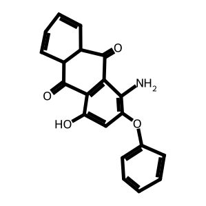 Nc1c(Oc2ccccc2)cc(O)c2c1C(=O)C1C=CC=CC1C2=O